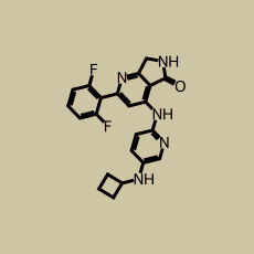 O=C1NCc2nc(-c3c(F)cccc3F)cc(Nc3ccc(NC4CCC4)cn3)c21